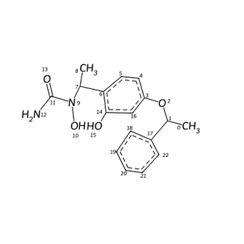 CC(Oc1ccc(C(C)N(O)C(N)=O)c(O)c1)c1ccccc1